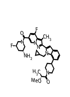 CO[C@H](C)C(=O)N1CCC(c2cccc3cc(-c4nn5cc(C(=O)N6C[C@H](N)C[C@@H](F)C6)cc(F)c5c4C)n(CC4CC4)c23)CC1